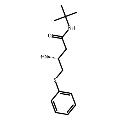 CC(C)(C)NC(=O)C[C@@H]([NH])CSc1ccccc1